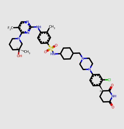 Cc1cc(S(=O)(=O)NC2CCC(CN3CCN(c4ccc([C@@H]5CCC(=O)NC5=O)c(Cl)c4)CC3)CC2)ccc1Nc1ncc(C(F)(F)F)c(N2CCC[C@](C)(O)C2)n1